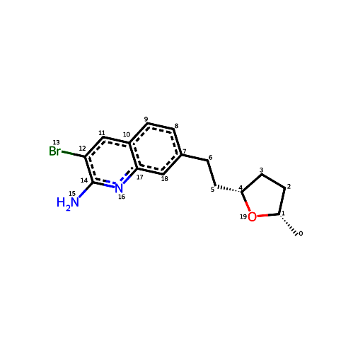 C[C@H]1CC[C@@H](CCc2ccc3cc(Br)c(N)nc3c2)O1